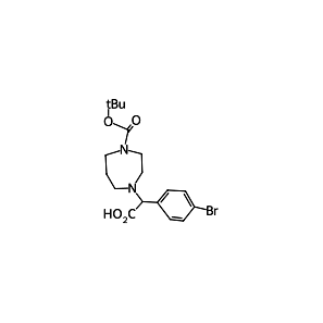 CC(C)(C)OC(=O)N1CCCN(C(C(=O)O)c2ccc(Br)cc2)CC1